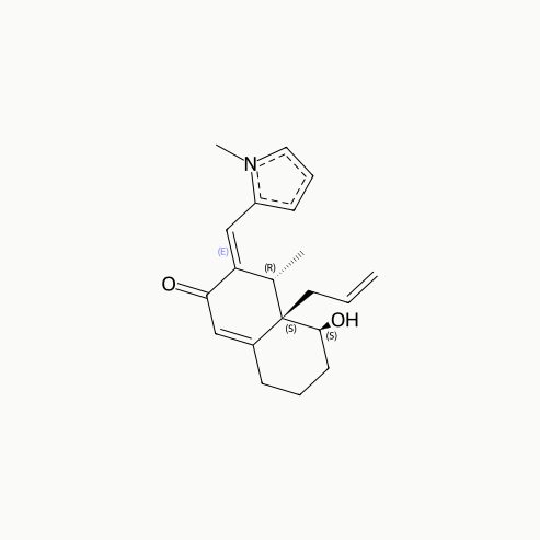 C=CC[C@@]12C(=CC(=O)/C(=C/c3cccn3C)[C@@H]1C)CCC[C@@H]2O